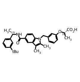 Cc1c(C)n(Cc2cccc(O[C@@H](C)C(=O)O)c2)c2ccc(C(=O)N[C@@H](C)c3cccc(C(C)(C)C)c3)cc12